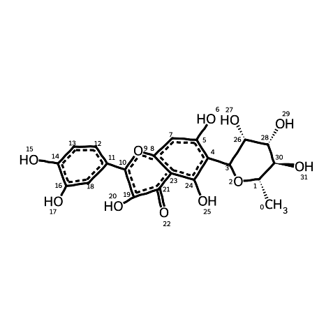 C[C@@H]1OC(c2c(O)cc3oc(-c4ccc(O)c(O)c4)c(O)c(=O)c3c2O)[C@H](O)[C@H](O)[C@H]1O